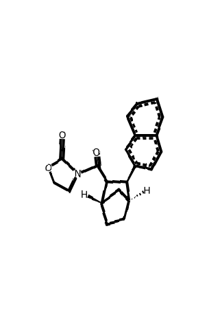 O=C1OCCN1C(=O)C1C(c2ccc3ccccc3c2)[C@H]2CC[C@H]1C2